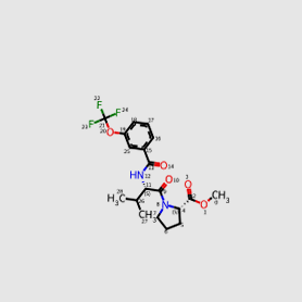 COC(=O)[C@@H]1CCCN1C(=O)[C@@H](NC(=O)c1cccc(OC(F)(F)F)c1)C(C)C